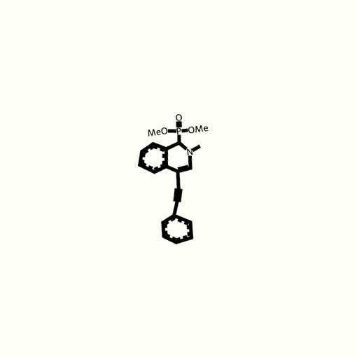 COP(=O)(OC)C1c2ccccc2C(C#Cc2ccccc2)=CN1C